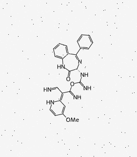 COC1=C/C(=C(/C=N)C(=N)OC(=N)N[C@H]2N=C(c3ccccc3)c3ccccc3NC2=O)NC=C1